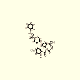 CC(C)N(C(=O)c1ccc(Cl)cc1Cl)c1cc(C2=CCN(C(=O)OCc3ccccc3)CC2)sc1C(=O)O